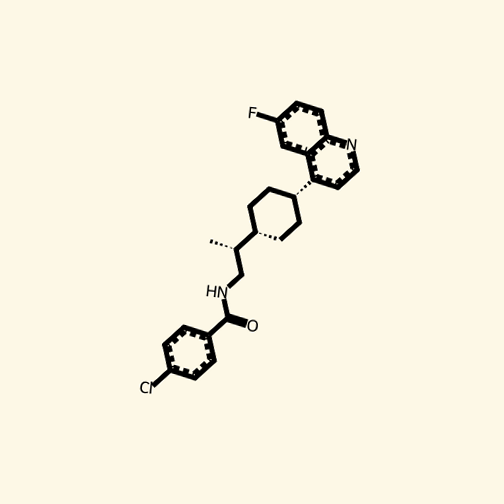 C[C@@H](CNC(=O)c1ccc(Cl)cc1)[C@H]1CC[C@@H](c2ccnc3ccc(F)cc32)CC1